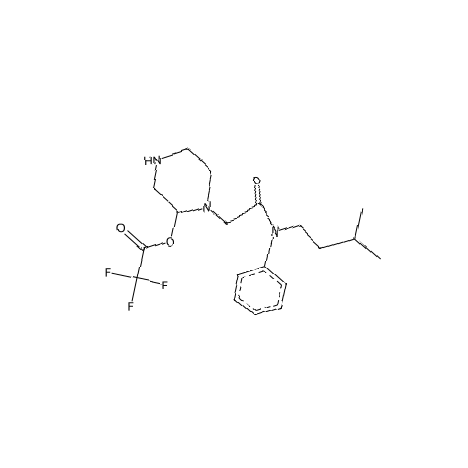 CC(C)CCN(C(=O)CN1CCNCC1OC(=O)C(F)(F)F)c1ccccc1